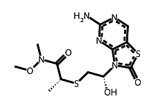 CON(C)C(=O)[C@@H](C)SC[C@@H](O)n1c(=O)sc2cnc(N)nc21